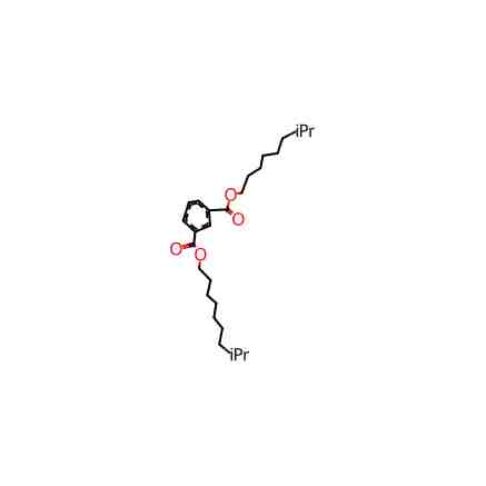 CC(C)CCCCCCCOC(=O)c1cccc(C(=O)OCCCCCCC(C)C)c1